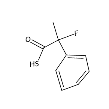 CC(F)(C(=O)S)c1ccccc1